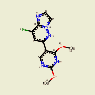 CC(C)(C)Oc1ncc(-c2cc(F)c3nccn3n2)c(OC(C)(C)C)n1